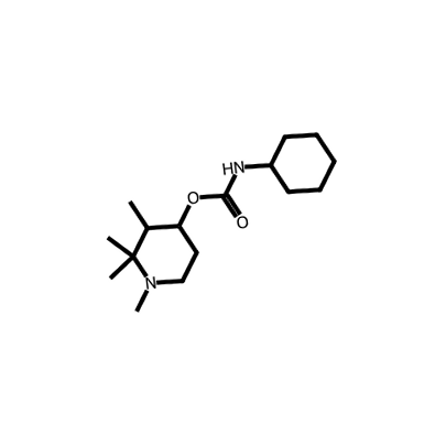 CC1C(OC(=O)NC2CCCCC2)CCN(C)C1(C)C